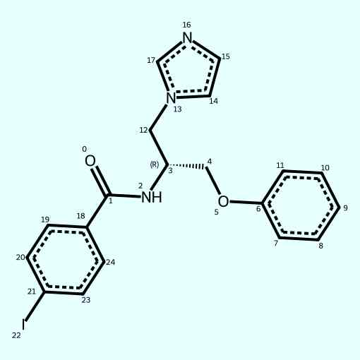 O=C(N[C@@H](COc1ccccc1)Cn1ccnc1)c1ccc(I)cc1